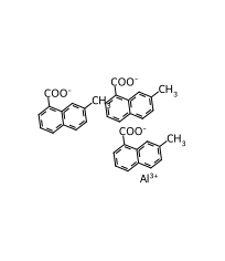 Cc1ccc2cccc(C(=O)[O-])c2c1.Cc1ccc2cccc(C(=O)[O-])c2c1.Cc1ccc2cccc(C(=O)[O-])c2c1.[Al+3]